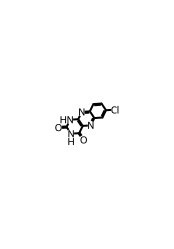 O=c1[nH]c(=O)c2nc3cc(Cl)ccc3nc2[nH]1